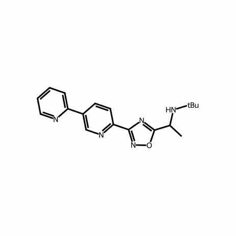 CC(NC(C)(C)C)c1nc(-c2ccc(-c3ccccn3)cn2)no1